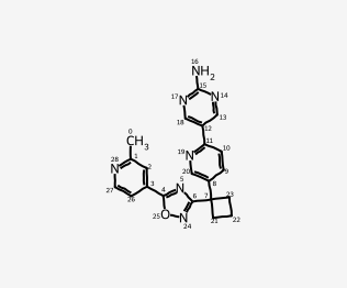 Cc1cc(-c2nc(C3(c4ccc(-c5cnc(N)nc5)nc4)CCC3)no2)ccn1